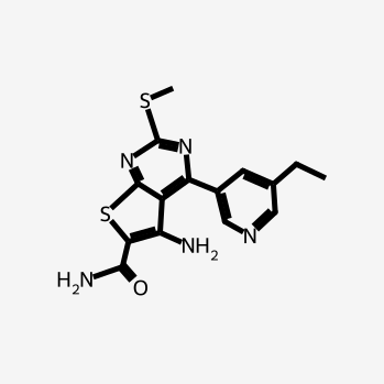 CCc1cncc(-c2nc(SC)nc3sc(C(N)=O)c(N)c23)c1